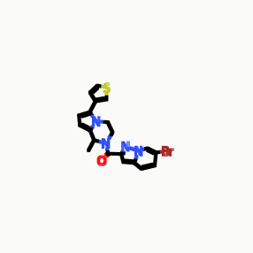 CC1c2ccc(-c3ccsc3)n2CCN1C(=O)c1cc2ccc(Br)cn2n1